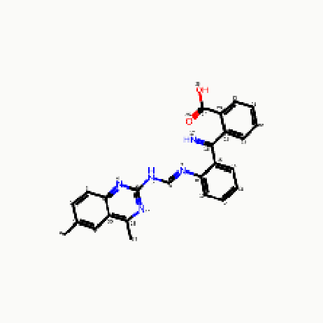 Cc1ccc2nc(N/C=N/c3ccccc3C(=N)c3ccccc3C(=O)O)nc(C)c2c1